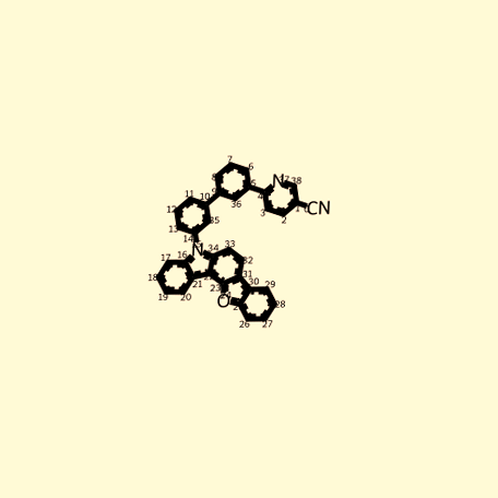 N#Cc1ccc(-c2cccc(-c3cccc(-n4c5ccccc5c5c6oc7ccccc7c6ccc54)c3)c2)nc1